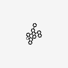 c1ccc(-c2ccc3c(-c4cccc5oc6c7ccccc7ccc6c45)c4ccccc4c(-c4cccc5ccccc45)c3c2)cc1